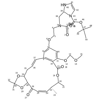 BC(=O)N(CCOc1cc2c(c(OCOC)c1)C(=O)OC(C)[C@H](C)/C=C\C(=O)C1OC(C)(C)OC1C/C=C/2)CC1NC=CN1C(=O)OC(C)(C)C